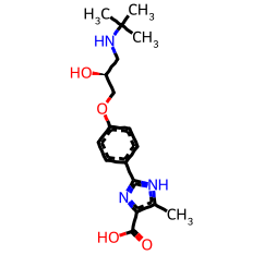 Cc1[nH]c(-c2ccc(OC[C@@H](O)CNC(C)(C)C)cc2)nc1C(=O)O